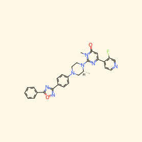 C[C@@H]1CN(c2ccc(-c3noc(-c4ccccc4)n3)cc2)CCN1c1nc(-c2ccncc2F)cc(=O)n1C